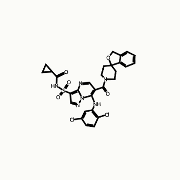 O=C(NS(=O)(=O)c1cnn2c(Nc3cc(Cl)ccc3Cl)c(C(=O)N3CCC4(CC3)OCc3ccccc34)cnc12)C1CC1